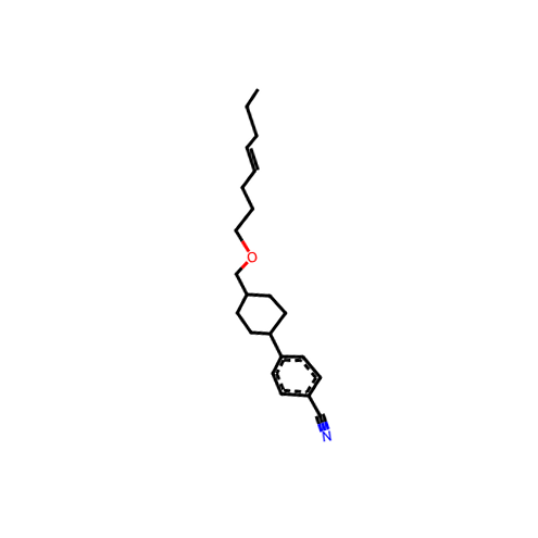 CCC/C=C/CCCOCC1CCC(c2ccc(C#N)cc2)CC1